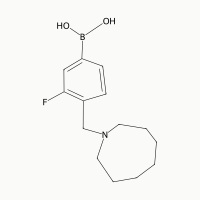 OB(O)c1ccc(CN2CCCCCCC2)c(F)c1